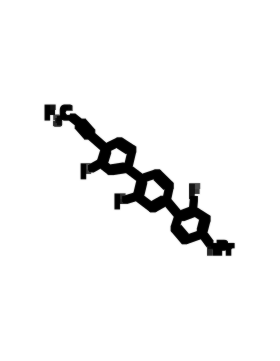 CCCc1ccc(-c2ccc(-c3ccc(C#CC(F)(F)F)c(F)c3)c(F)c2)c(F)c1